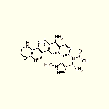 Cc1c(-c2cc3cc(N(C(=O)O)C(C)c4cnn(C)c4)ncc3c(N)c2F)cnc2c1NCCO2